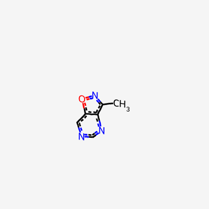 Cc1noc2cncnc12